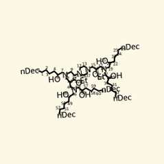 CCCCCCCCCCCCCCC(O)CN(CCN1CCN(CC(CN(CC(O)CCCCCCCCCCCCCC)CC(O)CCCCCCCCCCCCCC)OCC)CC1)CC(COCC)CN(CC(O)CCCCCCCCCCCCCC)CC(O)CCCCCCCCCCCCCC